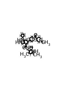 Cc1cc(C)c(CNC(=O)c2cc(C3=CCN(C(=O)C4CCN(C)CC4)CC3)cc(NC3CCCC3)c2C=N)c(=O)[nH]1